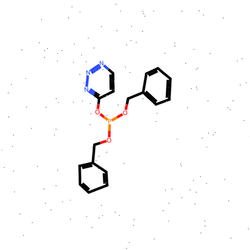 c1ccc(COP(OCc2ccccc2)Oc2ccnnn2)cc1